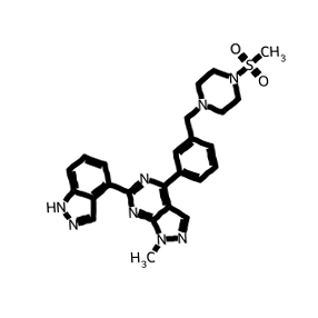 Cn1ncc2c(-c3cccc(CN4CCN(S(C)(=O)=O)CC4)c3)nc(-c3cccc4[nH]ncc34)nc21